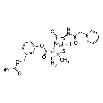 CC(C)C(=O)OCc1cccc(OC(=O)[C@@H]2N3C(=O)[C@@H](NC(=O)Cc4ccccc4)[C@H]3SC2(C)C)c1